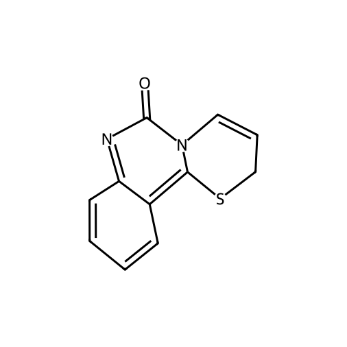 O=c1nc2ccccc2c2n1C=CCS2